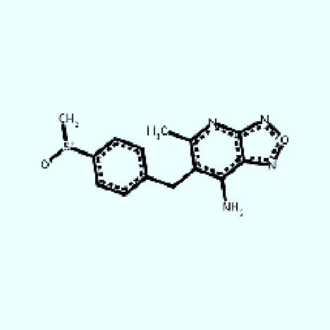 Cc1nc2nonc2c(N)c1Cc1ccc([S+](C)[O-])cc1